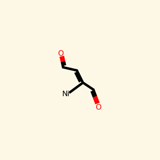 O=CC=[C]([Ni])C=O